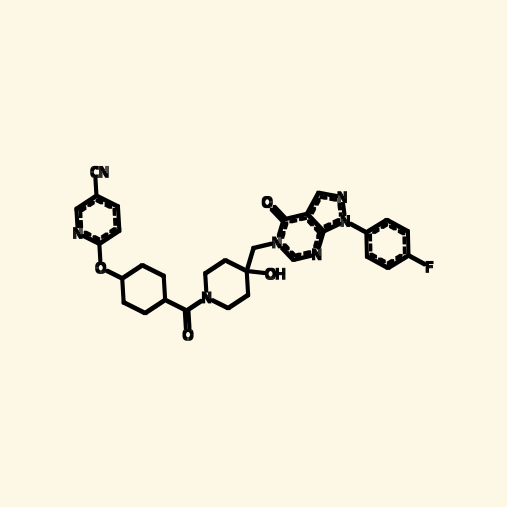 N#Cc1ccc(OC2CCC(C(=O)N3CCC(O)(Cn4cnc5c(cnn5-c5ccc(F)cc5)c4=O)CC3)CC2)nc1